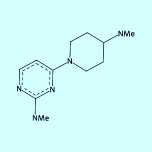 CNc1nccc(N2CCC(NC)CC2)n1